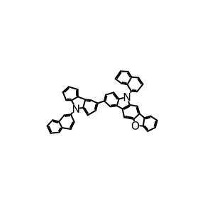 c1ccc2cc(-n3c4ccccc4c4cc(-c5ccc6c(c5)c5cc7oc8ccccc8c7cc5n6-c5cccc6ccccc56)ccc43)ccc2c1